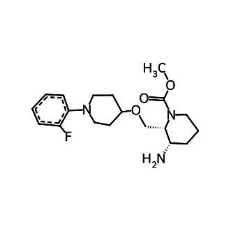 COC(=O)N1CCC[C@H](N)[C@@H]1COC1CCN(c2ccccc2F)CC1